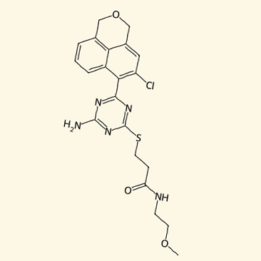 COCCNC(=O)CCSc1nc(N)nc(-c2c(Cl)cc3c4c(cccc24)COC3)n1